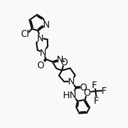 O=C(Nc1ccccc1OC(F)(F)F)N1CCC2(CC1)CC(C(=O)N1CCN(c3ncccc3Cl)CC1)=NO2